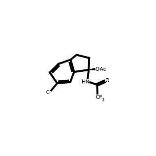 CC(=O)O[C@]1(NC(=O)C(F)(F)F)CCc2ccc(Cl)cc21